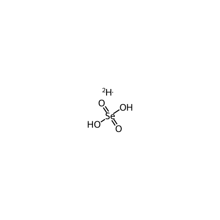 O=[Se](=O)(O)O.[2H]